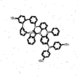 CC(C)(C)c1ccc(N(c2ccc(C(C)(C)C)cc2)c2ccc3c(c2)N(c2ccccc2)c2cccc4c2B3C2=C3N4c4cccc(c4)-c4ccc(C(C)(C)C)cc4-c4cccc(c4)[SH]3c3ccccc32)cc1